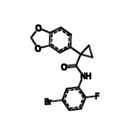 O=C(Nc1cc(Br)ccc1F)C1(c2ccc3c(c2)OCO3)CC1